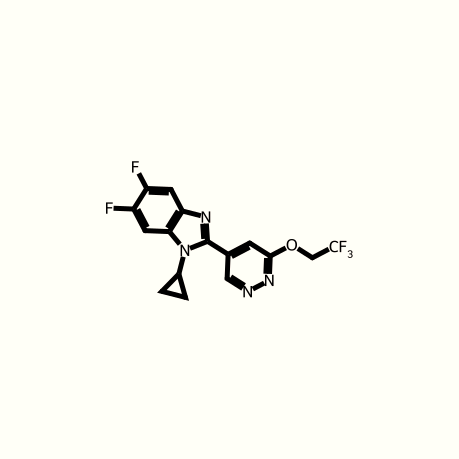 Fc1cc2nc(-c3cnnc(OCC(F)(F)F)c3)n(C3CC3)c2cc1F